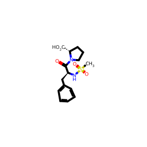 CS(=O)(=O)N[C@@H](Cc1ccccc1)C(=O)N1CCC[C@H]1C(=O)O